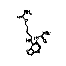 CCCCC(=O)Nc1cnc2ccsc2c1NCCCCOC(N)=O